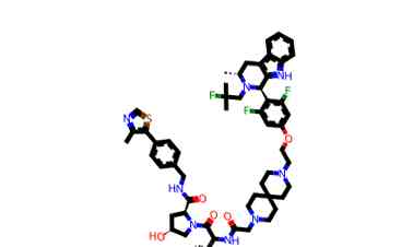 Cc1ncsc1-c1ccc(CNC(=O)[C@@H]2C[C@@H](O)CN2C(=O)C(NC(=O)CN2CCC3(CCN(CCOc4cc(F)c([C@@H]5c6[nH]c7ccccc7c6C[C@@H](C)N5CC(C)(C)F)c(F)c4)CC3)CC2)C(C)(C)C)cc1